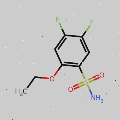 CCOc1cc(F)c(F)cc1S(N)(=O)=O